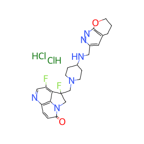 Cl.Cl.O=c1ccc2ncc(F)c3c2n1CC3(F)CN1CCC(NCc2cc3c(nn2)OCCC3)CC1